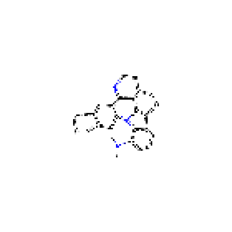 CN(C)c1cccc2c3ccc4ccnc5c6cc7ccccc7cc6n(c12)c3c45